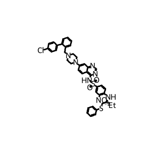 CC[C@@H](CSc1ccccc1)Nc1ccc(S(=O)(=O)Nc2ncnc3cc(N4CCN(Cc5ccccc5-c5ccc(Cl)cc5)CC4)ccc23)cc1[N+](=O)[O-]